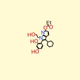 CCC(=O)Oc1ccc2c(C3CCCCC3)c(-c3ccc(O)cc3O)n(CCO)c2n1